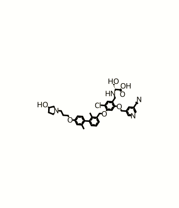 Cc1cc(OCCCN2CC[C@@H](O)C2)ccc1-c1cccc(COc2cc(OCc3cncc(C#N)c3)c(CN[C@H](CO)C(=O)O)cc2Cl)c1C